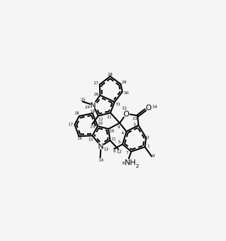 Cc1cc2c(c(C)c1N)C(c1c(C)n(C)c3ccccc13)(c1c(C)n(C)c3ccccc13)OC2=O